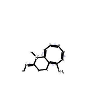 C/N=C1\CCC2=C(N)/C=C\C=C/C=C\2N1C